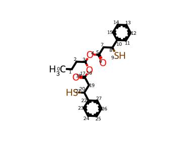 CCCC(OC(=O)CC(S)c1ccccc1)OC(=O)CC(S)c1ccccc1